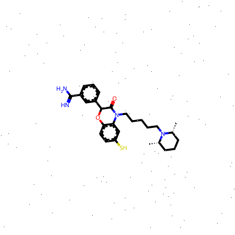 C[C@@H]1CCC[C@H](C)N1CCCCCN1C(=O)C(c2cccc(C(=N)N)c2)Oc2ccc(S)cc21